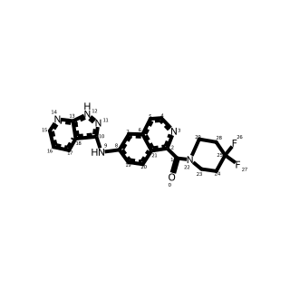 O=C(c1nccc2cc(Nc3n[nH]c4ncccc34)ccc12)N1CCC(F)(F)CC1